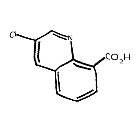 O=C(O)c1cccc2cc(Cl)cnc12